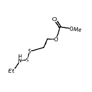 CCNSSCCOC(=O)OC